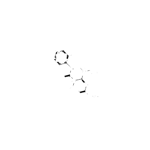 COC(=O)/N=C(/N(C)C)N(C)C(=O)Nc1ccccc1